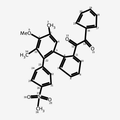 COc1c(C)cc(-c2ccccc2C(=O)C(=O)c2ccccc2)c(-c2ccc(S(C)(=O)=O)cc2)c1C